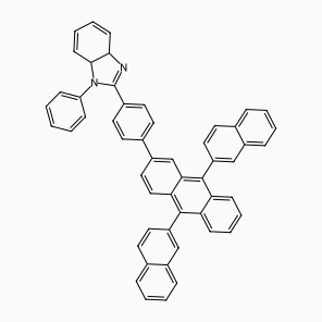 C1=CC2N=C(c3ccc(-c4ccc5c(-c6ccc7ccccc7c6)c6ccccc6c(-c6ccc7ccccc7c6)c5c4)cc3)N(c3ccccc3)C2C=C1